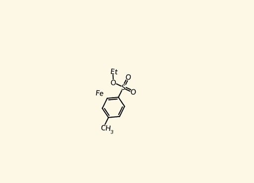 CCOS(=O)(=O)c1ccc(C)cc1.[Fe]